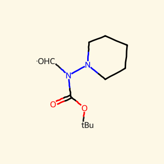 CC(C)(C)OC(=O)N([C]=O)N1CCCCC1